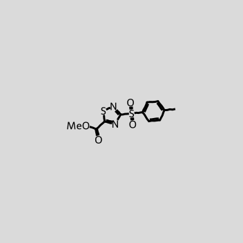 COC(=O)c1nc(S(=O)(=O)c2ccc(C)cc2)ns1